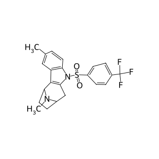 Cc1ccc2c(c1)c1c(n2S(=O)(=O)c2ccc(C(F)(F)F)cc2)CC2CCC1N2C